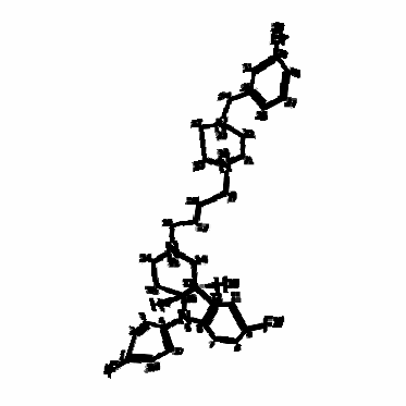 Fc1ccc(N2c3ccc(F)cc3[C@@H]3CN(CCCCN4CCN(Cc5cccc(Br)c5)CC4)CC[C@H]32)cc1